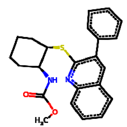 COC(=O)N[C@H]1CCCC[C@H]1Sc1nc2ccccc2cc1-c1ccccc1